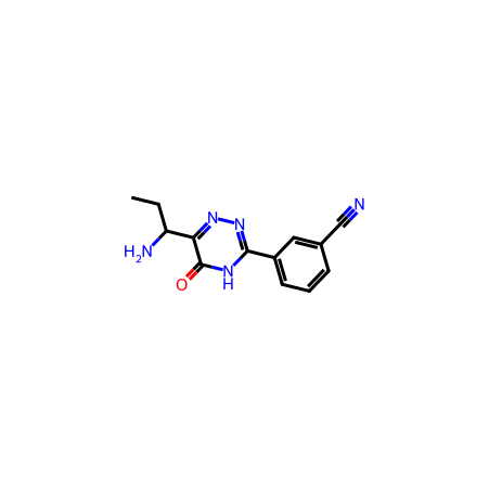 CCC(N)c1nnc(-c2cccc(C#N)c2)[nH]c1=O